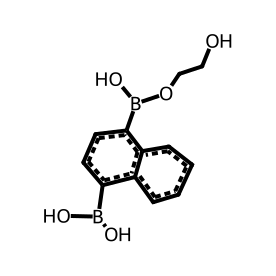 OCCOB(O)c1ccc(B(O)O)c2ccccc12